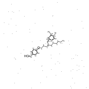 CCCCCCC(CCCOc1ccc(CO)cc1)Cc1ccc(C)c(C)c1